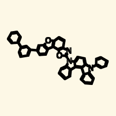 c1ccc(-c2cccc(-c3ccc4c(c3)oc3ccc5nc(-n6c7ccccc7c7c8c9ccccc9n(-c9ccccc9)c8ccc76)oc5c34)c2)cc1